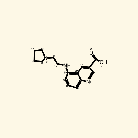 O=C(O)c1cnc2cccc(NCCN3CCCC3)c2c1